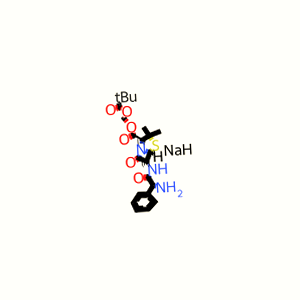 CC(C)(C)C(=O)OCOC(=O)[C@@H]1N2C(=O)[C@@H](NC(=O)C(N)c3ccccc3)[C@H]2SC1(C)C.[NaH]